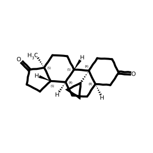 C[C@]12CC[C@H]3[C@@H](CC[C@@H]4CC(=O)CC[C@@]43C3CC3)[C@@H]1CCC2=O